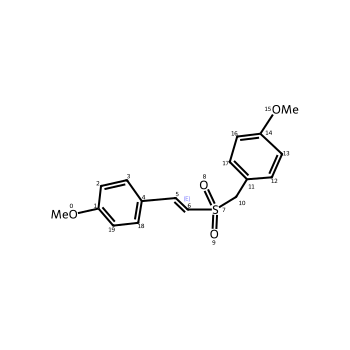 COc1ccc(/C=C/S(=O)(=O)Cc2ccc(OC)cc2)cc1